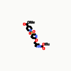 C=C(CNC(=O)OC(C)(C)C)COc1ccc(S(=O)(=O)N2CCC(C(=O)OC)CC2)cn1